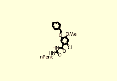 CCCCCNC(=O)NC(=O)c1cc(OCc2ccccc2)c(OC)cc1Cl